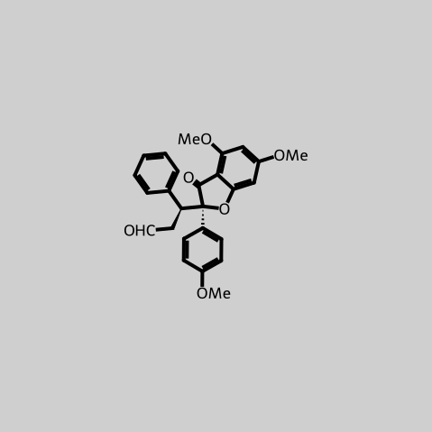 COc1ccc([C@@]2([C@@H](CC=O)c3ccccc3)Oc3cc(OC)cc(OC)c3C2=O)cc1